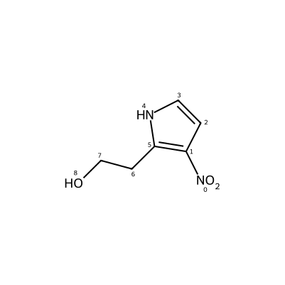 O=[N+]([O-])c1cc[nH]c1CCO